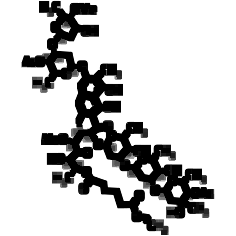 C=COC(=O)CCCCC(=O)O[C@H](C)[C@H](O)C(=O)[C@@H](OC)[C@@H]1Cc2cc3cc(O[C@H]4C[C@@H](O[C@@H]5CC(O)[C@@H](OC)C(C)O5)[C@@H](OC(C)=O)C(C)O4)c(C)c(O)c3c(O)c2C(=O)[C@H]1O[C@H]1C[C@@H](O[C@H]2C[C@@H](O[C@H]3C[C@@](C)(O)[C@@H](OC(C)=O)C(C)O3)[C@H](O)C(C)O2)[C@H](O)C(C)O1